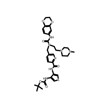 CN1CCN(CCN(Cc2ccc(C(=O)Nc3cscc3NC(=O)OC(C)(C)C)nc2)C(=O)Nc2ccc3c(c2)OCCO3)CC1